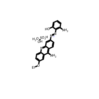 CCOc1ccc2nc3cc(/N=N/c4c(N)cccc4O)ccc3c(N)c2c1.O.O=S(=O)(O)O